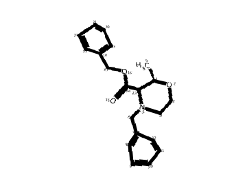 C[C@H]1OCCN(Cc2ccccc2)C1C(=O)OCc1ccccc1